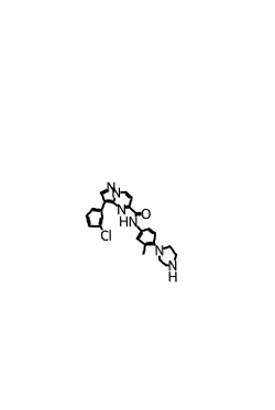 Cc1cc(NC(=O)c2ccn3ncc(-c4cccc(Cl)c4)c3n2)ccc1N1CCNCC1